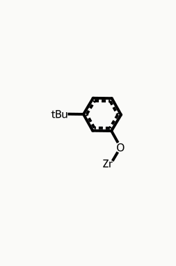 CC(C)(C)c1cccc([O][Zr])c1